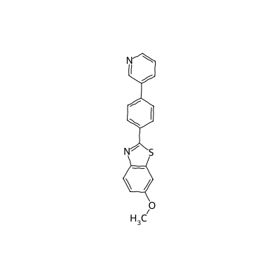 COc1ccc2nc(-c3ccc(-c4cccnc4)cc3)sc2c1